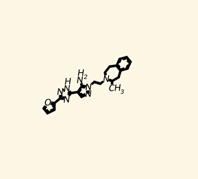 CC1Cc2ccccc2CCN1CCn1ncc(-c2nc(-c3ccco3)n[nH]2)c1N